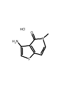 Cl.Cn1ccc2scc(N)c2c1=O